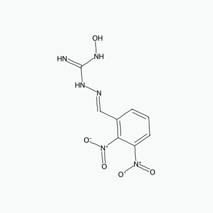 N=C(NO)NN=Cc1cccc([N+](=O)[O-])c1[N+](=O)[O-]